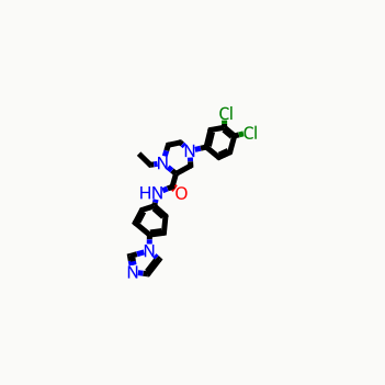 CCN1CCN(c2ccc(Cl)c(Cl)c2)CC1C(=O)Nc1ccc(-n2ccnc2)cc1